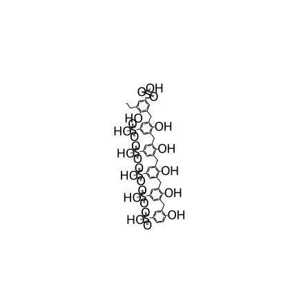 CCc1cc(S(=O)(=O)O)cc(Cc2cc(S(=O)(=O)O)cc(Cc3cc(S(=O)(=O)O)cc(Cc4cc(S(=O)(=O)O)cc(Cc5cc(S(=O)(=O)O)cc(Cc6cc(S(=O)(=O)O)ccc6O)c5O)c4O)c3O)c2O)c1O